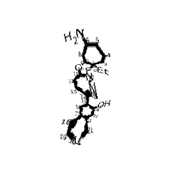 CC[C@]1(F)CCCC(N)C[C@@H]1Oc1ccc(-c2cc3ccncc3cc2O)nn1